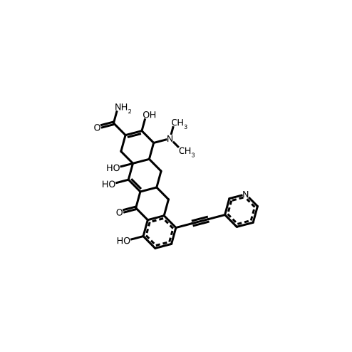 CN(C)C1C(O)=C(C(N)=O)CC2(O)C(O)=C3C(=O)c4c(O)ccc(C#Cc5cccnc5)c4CC3CC12